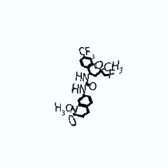 CN1C(=O)CCc2ccc(NC(=O)N[C@@H]3C[C@@](C)(CF)Oc4cc(C(F)(F)F)ccc43)cc21